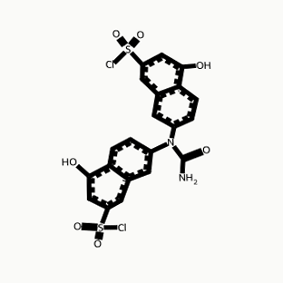 NC(=O)N(c1ccc2c(O)cc(S(=O)(=O)Cl)cc2c1)c1ccc2c(O)cc(S(=O)(=O)Cl)cc2c1